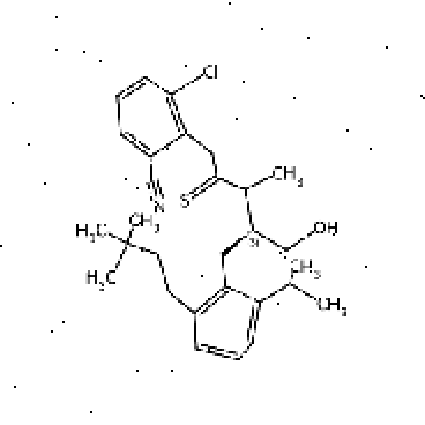 CC(C)c1cccc(CCC(C)(C)C)c1C[C@H](CO)C(C)C(=S)Cc1c(Cl)cccc1C#N